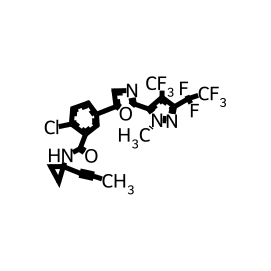 CC#CC1(NC(=O)c2cc(-c3cnc(-c4c(C(F)(F)F)c(C(F)(F)C(F)(F)F)nn4C)o3)ccc2Cl)CC1